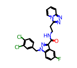 O=C(NCCc1nnc2ccccn12)c1nn(Cc2ccc(Cl)c(Cl)c2)c2ccc(F)cc12